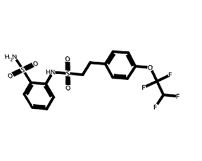 NS(=O)(=O)c1ccccc1NS(=O)(=O)CCc1ccc(OC(F)(F)C(F)F)cc1